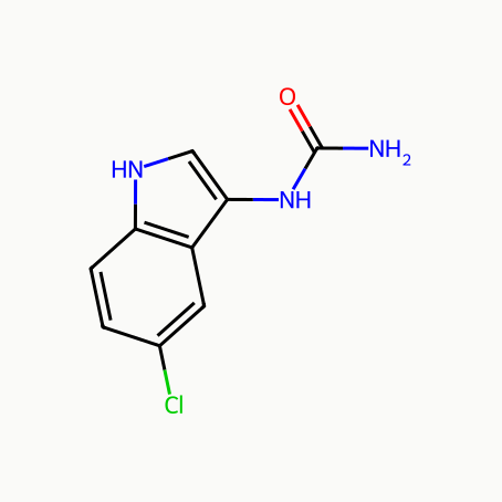 NC(=O)Nc1c[nH]c2ccc(Cl)cc12